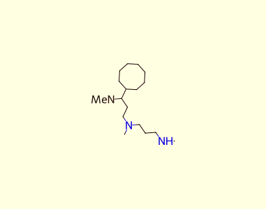 CNC(CCN(C)CCC[NH])C1CCCCCCC1